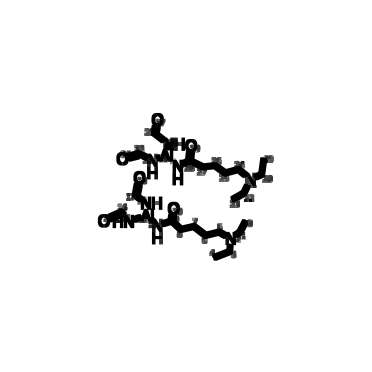 CCN(CC)CCCCC(=O)[NH][Al]([NH]C=O)[NH]C=O.CCN(CC)CCCCC(=O)[NH][Al]([NH]C=O)[NH]C=O